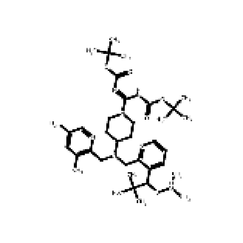 Cc1cnc(CN(Cc2ncccc2C(O[SiH](C)C)C(C)(C)C)C2CCN(C(=NC(=O)OC(C)(C)C)NC(=O)OC(C)(C)C)CC2)c(C)c1